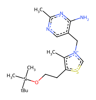 Cc1ncc(C[n+]2csc(CCO[Si](C)(C)C(C)(C)C)c2C)c(N)n1